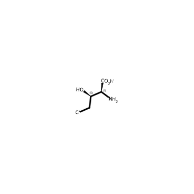 N[C@H](C(=O)O)[C@H](O)CCl